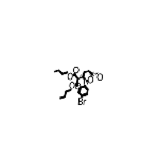 CCCCOC(=O)C(C(=O)OCCCC)[C@H]1CC[C@H](C=O)ON1c1ccc(Br)cc1